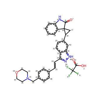 O=C(O)C(F)(F)F.O=C1Nc2ccccc2C12CC2c1ccc2c(/C=C/c3ccc(CN4CCOCC4)cc3)n[nH]c2c1